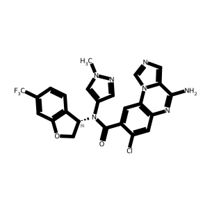 Cn1cc(N(C(=O)c2cc3c(cc2Cl)nc(N)c2cncn23)[C@@H]2COc3cc(C(F)(F)F)ccc32)cn1